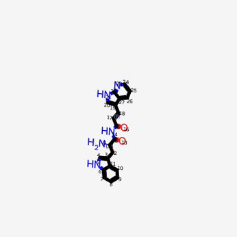 N[C@@H](Cc1c[nH]c2ccccc12)C(=O)NC(=O)/C=C/c1c[nH]c2ncccc12